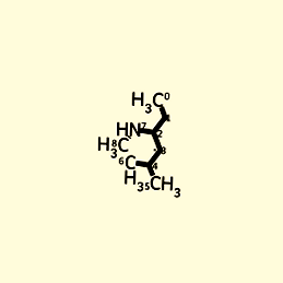 CCC([CH]C(C)C)NC